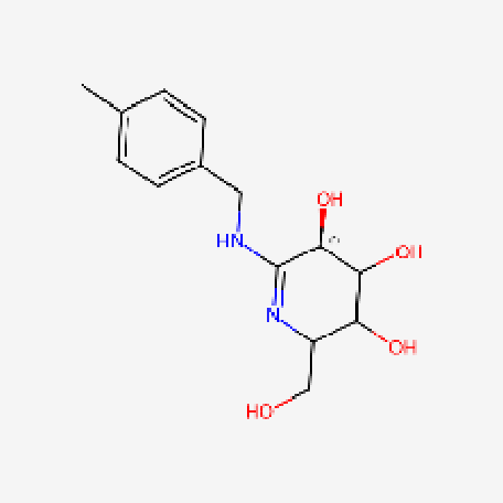 Cc1ccc(CNC2=NC(CO)C(O)C(O)[C@@H]2O)cc1